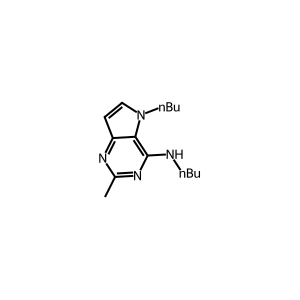 CCCCNc1nc(C)nc2ccn(CCCC)c12